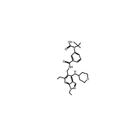 CCc1nc2c(cnn2CC)c(NC2CCOCC2)c1CNC(=O)c1cccc(N(C(=O)O)C(C)(C)C)c1